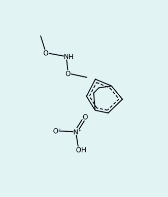 CONOC.O=[N+]([O-])O.c1cc2ccc1CC2